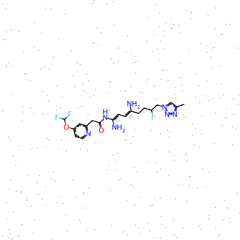 Cc1cn(CC(F)CC/C(N)=C/C=C(\N)NC(=O)Cc2cc(OC(F)F)ccn2)nn1